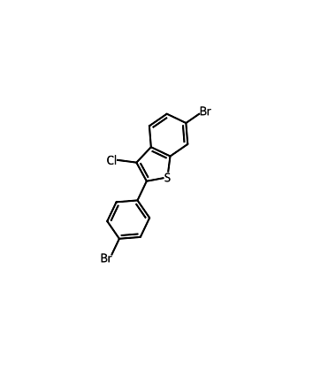 Clc1c(-c2ccc(Br)cc2)sc2cc(Br)ccc12